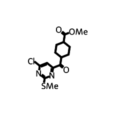 COC(=O)C1CCC(C(=O)c2cc(Cl)nc(SC)n2)CC1